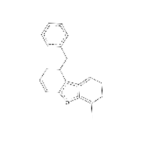 IC1=c2oc3c(c2=CCC1)C(Cc1ccccc1)CC=C3